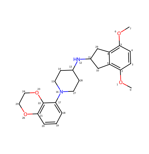 COc1ccc(OC)c2c1CC(NC1CCN(c3cccc4c3OCCO4)CC1)C2